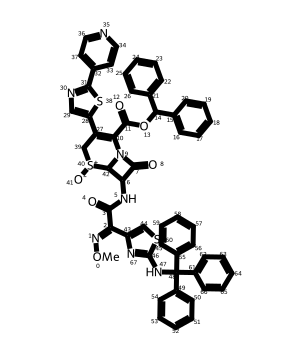 CO/N=C(/C(=O)NC1C(=O)N2C(C(=O)OC(c3ccccc3)c3ccccc3)=C(c3cnc(-c4ccncc4)s3)C[S+]([O-])C12)c1csc(NC(c2ccccc2)(c2ccccc2)c2ccccc2)n1